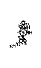 COCCCOc1cc(CN(C(=O)[C@H]2CNC[C@@H](C(=O)Nc3c(C)cccc3OC)C2)C2CC2)cc(OC)c1